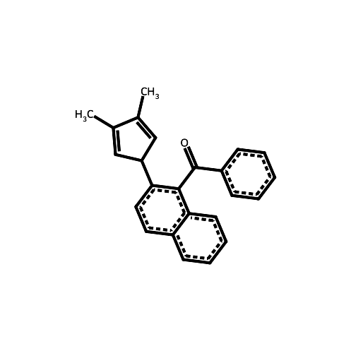 CC1=CC(c2ccc3ccccc3c2C(=O)c2ccccc2)C=C1C